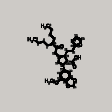 CCCCN(CCCC)C(=O)CN1C[C@H](c2cc(OC)c3c(c2)OCO3)[C@@H](C(=O)O)[C@@H]1CCc1ncco1